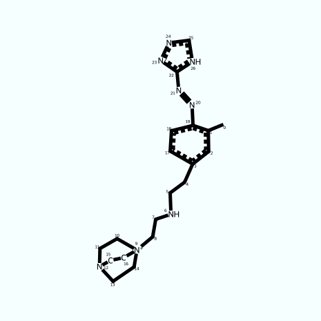 Cc1cc(CCNCC[N+]23CCN(CC2)CC3)ccc1N=Nc1nnc[nH]1